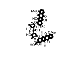 COc1cccc2c1C(=O)c1c(O)c3c(c(O)c1C2=O)C[C@@](O)(C(=O)CO)C[C@@H]3OC1CC(NN(O)C2CC(O[C@H]3C[C@](O)(C(C)=O)Cc4c(O)c5c(c(O)c43)C(=O)c3c(OC)cccc3C5=O)OC(C)C2O)C(O)C(C)O1